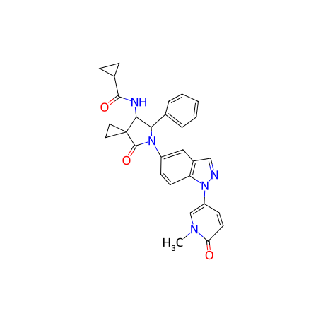 Cn1cc(-n2ncc3cc(N4C(=O)C5(CC5)C(NC(=O)C5CC5)C4c4ccccc4)ccc32)ccc1=O